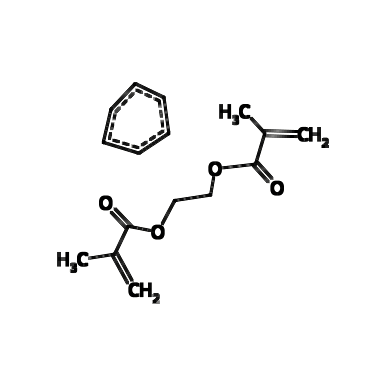 C=C(C)C(=O)OCCOC(=O)C(=C)C.c1ccccc1